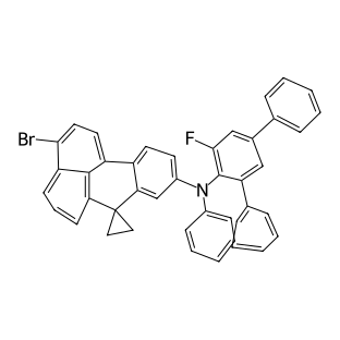 Fc1cc(-c2ccccc2)cc(-c2ccccc2)c1N(c1ccccc1)c1ccc2c(c1)C1(CC1)c1cccc3c(Br)ccc-2c13